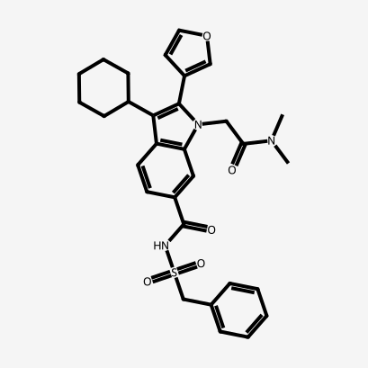 CN(C)C(=O)Cn1c(-c2ccoc2)c(C2CCCCC2)c2ccc(C(=O)NS(=O)(=O)Cc3ccccc3)cc21